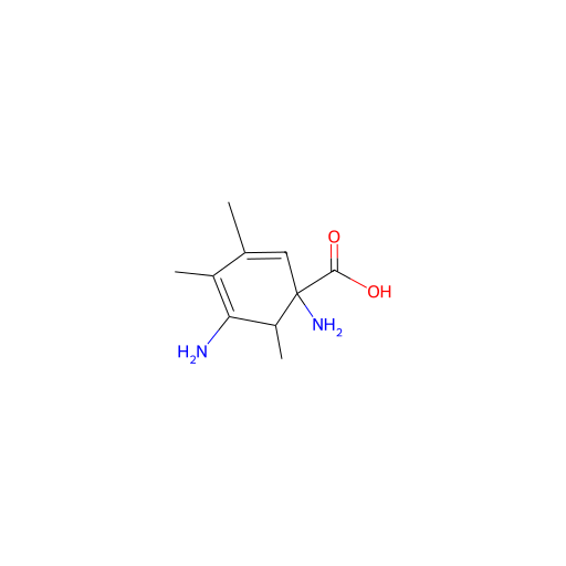 CC1=CC(N)(C(=O)O)C(C)C(N)=C1C